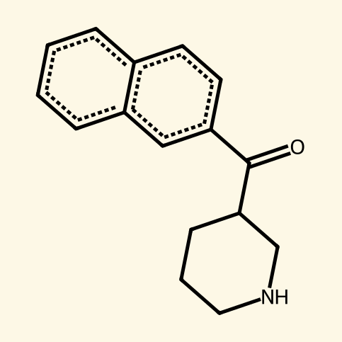 O=C(c1ccc2ccccc2c1)C1CCCNC1